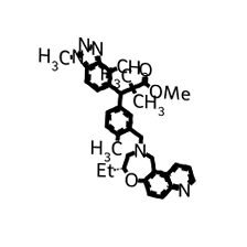 CC[C@@H]1CN(Cc2cc(C(c3ccc4c(nnn4C)c3C)C(C)(C)C(=O)OC)ccc2C)Cc2c(ccc3ncccc23)O1